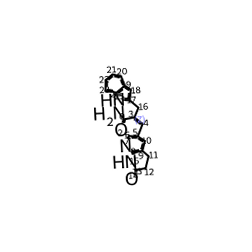 NC(=O)/C(=C\c1cnc2c(c1)CCC(=O)N2)Cc1cc2ccccc2[nH]1